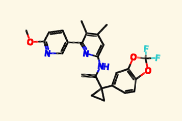 C=C(Nc1cc(C)c(C)c(-c2ccc(OC)nc2)n1)C1(c2ccc3c(c2)OC(F)(F)O3)CC1